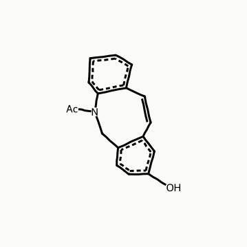 CC(=O)N1Cc2ccc(O)cc2/C=C\c2ccccc21